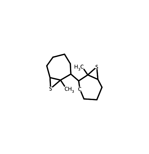 CC12SC1CCCCC2C1CCCCC2SC21C